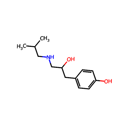 CC(C)CNCC(O)Cc1ccc(O)cc1